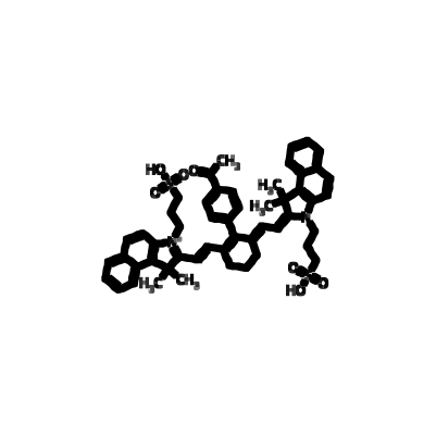 CC(=O)c1ccc(C2=C(/C=C/C3=[N+](CCCS(=O)(=O)O)c4ccc5ccccc5c4C3(C)C)CCC/C2=C\C=C2\N(CCCS(=O)(=O)O)c3ccc4ccccc4c3C2(C)C)cc1